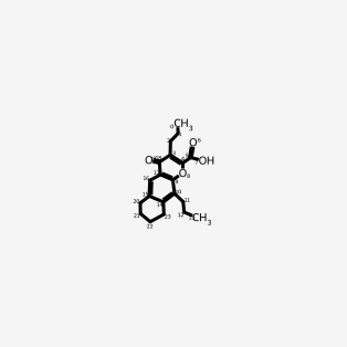 CCCc1c(C(=O)O)oc2c(CCC)c3c(cc2c1=O)CCCC3